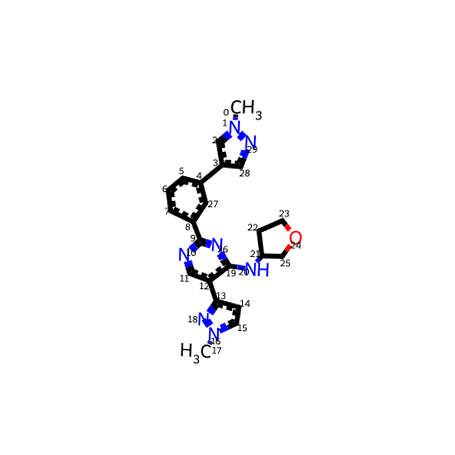 Cn1cc(-c2cccc(-c3ncc(-c4ccn(C)n4)c(NC4CCOC4)n3)c2)cn1